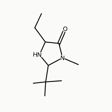 CCC1NC(C(C)(C)C)N(C)C1=O